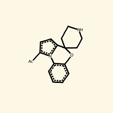 CC(=O)c1ccc2n1-c1ccccc1OC21CCNCC1